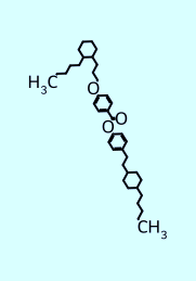 CCCCCC1CCC(CCc2ccc(OC(=O)c3ccc(OCCCC4CCCCC4CCCCC)cc3)cc2)CC1